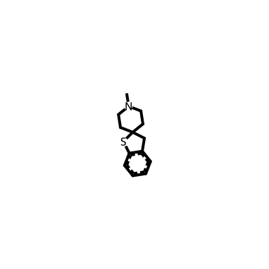 CN1CCC2(CC1)Cc1ccccc1S2